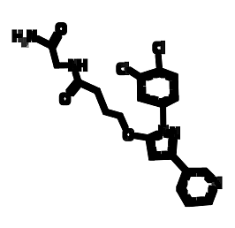 NC(=O)CNC(=O)CCCOc1cc(-c2cccnc2)nn1-c1ccc(Cl)c(Cl)c1